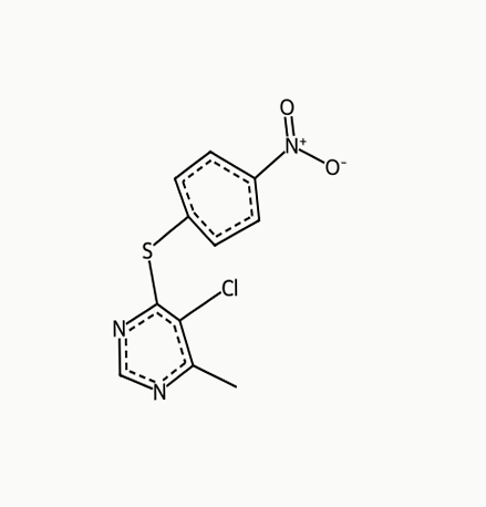 Cc1ncnc(Sc2ccc([N+](=O)[O-])cc2)c1Cl